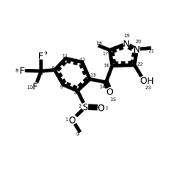 COS(=O)c1cc(C(F)(F)F)ccc1C(=O)c1c(C)nn(C)c1O